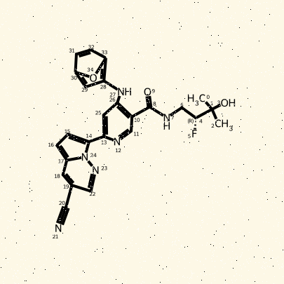 CC(C)(O)[C@H](F)CNC(=O)c1cnc(-c2ccc3cc(C#N)cnn23)cc1Nc1cc2ccc1o2